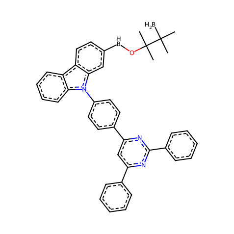 BC(C)(C)C(C)(C)OBc1ccc2c3ccccc3n(-c3ccc(-c4cc(-c5ccccc5)nc(-c5ccccc5)n4)cc3)c2c1